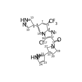 O=C(c1nc2c(C(F)(F)F)cc(C3C=NNC3)cn2c1Cl)N1CC=C(c2cc[nH]n2)C1